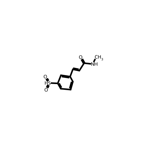 CNC(=O)/C=C/c1cccc([SH](=O)=O)c1